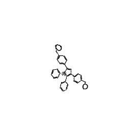 O=Cc1ccc(C2=CC(c3ccc(C=O)cc3)=C(c3ccccc3)[C@@H]2c2ccccc2)cc1